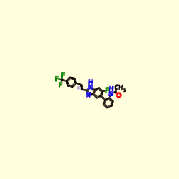 CC(=O)Nc1ccccc1-c1cc2nc(/C=C/c3ccc(C(F)(F)F)cc3)[nH]c2cc1F